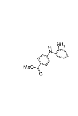 COC(=O)c1ccc(Nc2ccccc2N)cc1